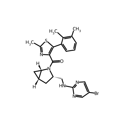 Cc1nc(C(=O)N2[C@H](CNc3ncc(Br)cn3)C[C@@H]3C[C@@H]32)c(-c2cccc(C)c2C)s1